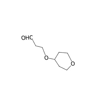 O=CCCOC1CCOCC1